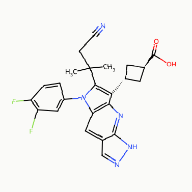 CC(C)(CC#N)c1c([C@H]2C[C@H](C(=O)O)C2)c2nc3[nH]ncc3cc2n1-c1ccc(F)c(F)c1